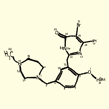 CCCCOc1ccc(CN2CCN(C)CC2)cc1-c1nc(C(C)C)c(Br)c(=O)[nH]1